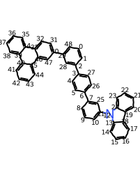 c1cc(-c2ccc(-c3cccc(-n4c5ccccc5c5ccccc54)c3)cc2)cc(-c2ccc3c4ccccc4c4ccccc4c3c2)c1